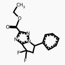 CCOC(=O)c1nc2n(n1)C(c1ccccc1)CC2(F)F